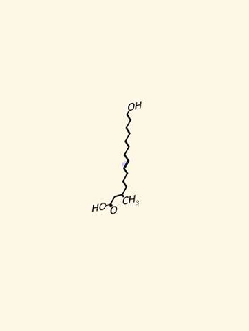 CC(CCC/C=C/CCCCCCCO)CC(=O)O